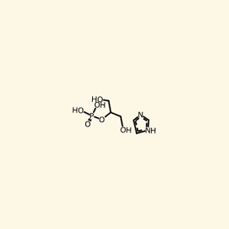 O=P(O)(O)OC(CO)CO.c1c[nH]cn1